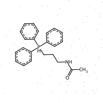 CC(=O)NCCC[PH](c1ccccc1)(c1ccccc1)c1ccccc1